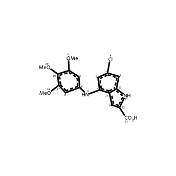 COc1cc(Nc2cc(Cl)cc3[nH]c(C(=O)O)cc23)cc(OC)c1OC